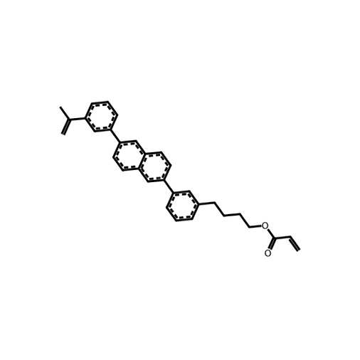 C=CC(=O)OCCCCc1cccc(-c2ccc3cc(-c4cccc(C(=C)C)c4)ccc3c2)c1